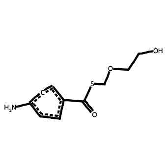 Nc1ccc(C(=O)SCOCCO)cc1